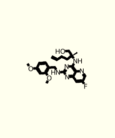 C=CCC[C@](C)(CO)Nc1nc(NCc2ccc(OC)cc2OC)nc2cc(F)cnc12